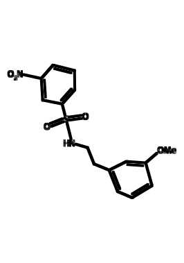 COc1cccc(CCNS(=O)(=O)c2cccc([N+](=O)[O-])c2)c1